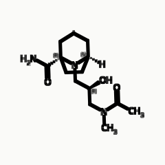 CC(=O)N(C)C[C@H](O)CN1[C@H]2C[CH]C[C@]1(C(N)=O)CC2